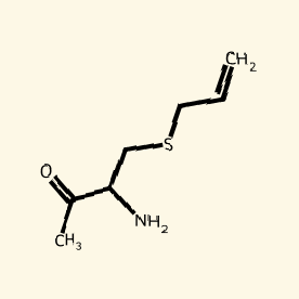 C=CCSCC(N)C(C)=O